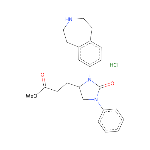 COC(=O)CCC1CN(c2ccccc2)C(=O)N1c1ccc2c(c1)CCNCC2.Cl